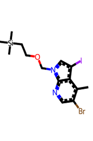 Cc1c(Br)cnc2c1c(I)cn2COCC[Si](C)(C)C